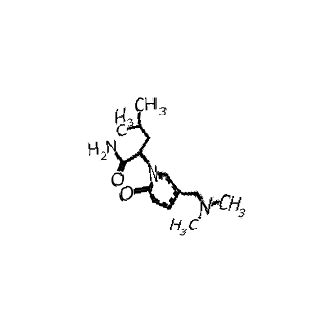 CC(C)CC(C(N)=O)n1cc(CN(C)C)ccc1=O